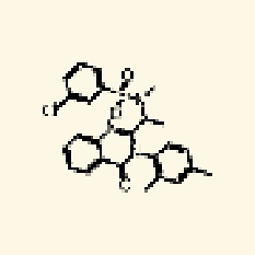 Cc1ccc(-n2c(C(C)N(C)S(=O)(=O)c3cccc(Cl)c3)nc3ccccc3c2=O)c(C)c1